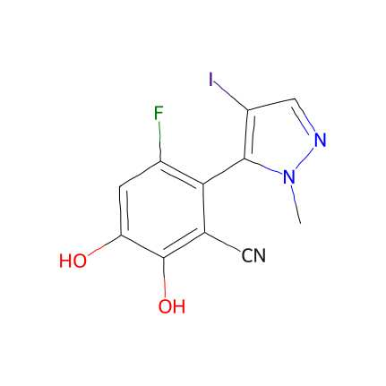 Cn1ncc(I)c1-c1c(F)cc(O)c(O)c1C#N